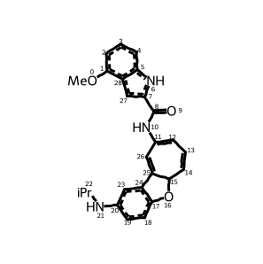 COc1cccc2[nH]c(C(=O)NC3=CC=CC4Oc5ccc(NC(C)C)cc5C4=C3)cc12